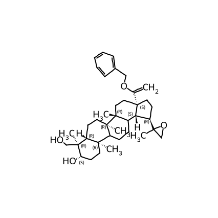 C=C(OCc1ccccc1)[C@]12CC[C@@H](C3(C)CO3)[C@@H]1C1CCC3[C@@]4(C)CC[C@H](O)[C@@](C)(CO)[C@@H]4CC[C@@]3(C)[C@]1(C)CC2